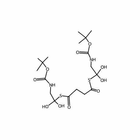 CC(C)(C)OC(=O)NCC(O)(O)SC(=O)CCC(=O)SC(O)(O)CNC(=O)OC(C)(C)C